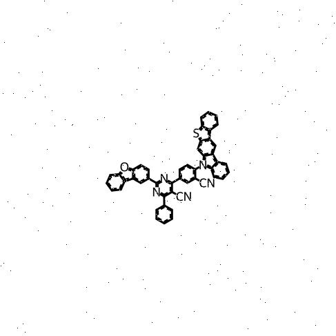 N#Cc1cc(-c2nc(-c3ccc4oc5ccccc5c4c3)nc(-c3ccccc3)c2C#N)ccc1-n1c2ccccc2c2cc3c(cc21)sc1ccccc13